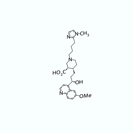 COc1ccc2nccc([C@H](O)CC[C@@H]3CCN(CCCCc4nccn4C)C[C@@H]3C(=O)O)c2c1